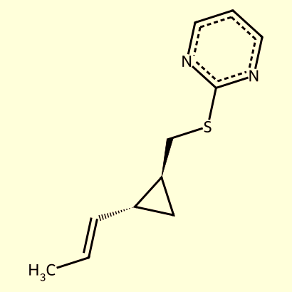 C/C=C/[C@H]1C[C@@H]1CSc1ncccn1